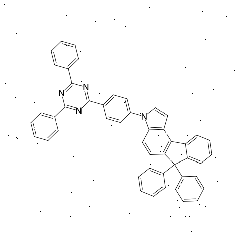 c1ccc(-c2nc(-c3ccccc3)nc(-c3ccc(-n4ccc5c6c(ccc54)C(c4ccccc4)(c4ccccc4)c4ccccc4-6)cc3)n2)cc1